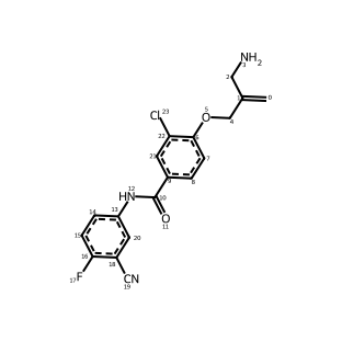 C=C(CN)COc1ccc(C(=O)Nc2ccc(F)c(C#N)c2)cc1Cl